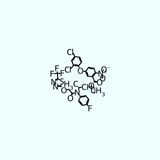 CC(C)N(C(=O)COc1nnc(C(F)(F)F)s1)c1ccc(F)cc1.COC(=O)c1cc(Oc2ccc(Cl)cc2Cl)ccc1[N+](=O)[O-]